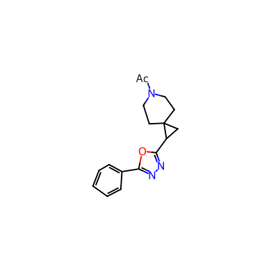 CC(=O)N1CCC2(CC1)CC2c1nnc(-c2ccccc2)o1